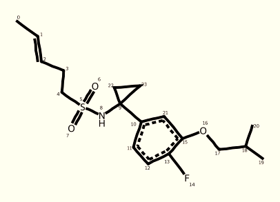 C/C=C/CCS(=O)(=O)NC1(c2ccc(F)c(OCC(C)C)c2)CC1